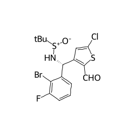 CC(C)(C)[S+]([O-])N[C@H](c1cc(Cl)sc1C=O)c1cccc(F)c1Br